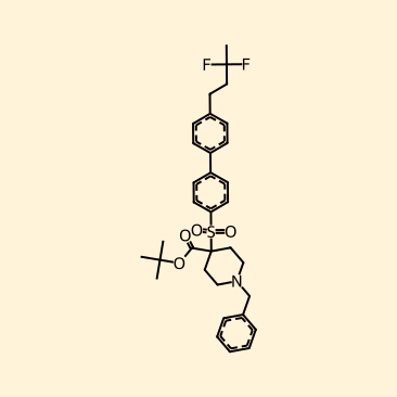 CC(F)(F)CCc1ccc(-c2ccc(S(=O)(=O)C3(C(=O)OC(C)(C)C)CCN(Cc4ccccc4)CC3)cc2)cc1